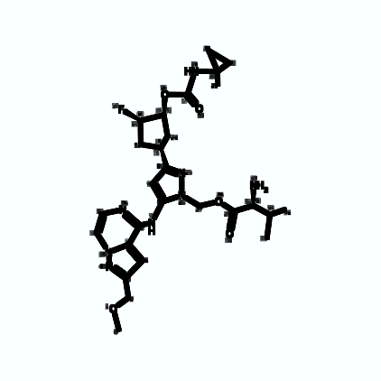 COCc1cc2c(Nc3cc([C@H]4C[C@@H](F)[C@@H](OC(=O)NC5(C)CC5)C4)nn3COC(=O)[C@@H](N)C(C)C)nccn2n1